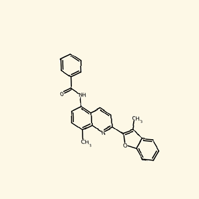 Cc1c(-c2ccc3c(NC(=O)c4ccccc4)ccc(C)c3n2)oc2ccccc12